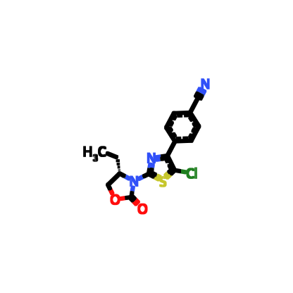 CC[C@H]1COC(=O)N1c1nc(-c2ccc(C#N)cc2)c(Cl)s1